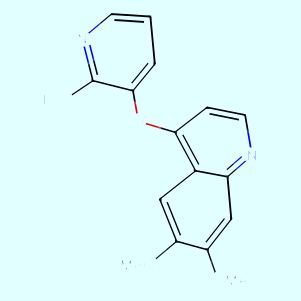 COc1cc2nccc(Oc3cccnc3C)c2cc1OC